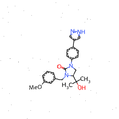 COc1cccc(CN2C(=O)N(c3ccc(-c4cn[nH]c4)cc3)CC2C(C)(C)O)c1